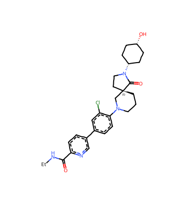 CCNC(=O)c1ccc(-c2ccc(N3CCC[C@]4(CCN([C@H]5CC[C@@H](O)CC5)C4=O)C3)c(Cl)c2)cn1